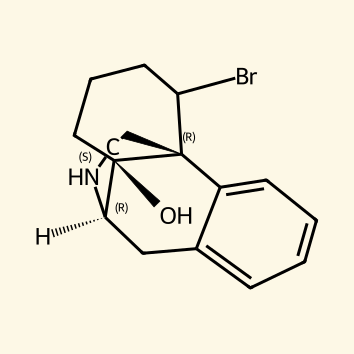 O[C@@]12CCCC(Br)[C@@]13CCN[C@@H]2Cc1ccccc13